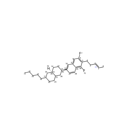 C/C=C/CCc1c(F)cc2cc([C@@H]3CC[C@@H]4CC(CCCCC)CCC4C3)ccc2c1F